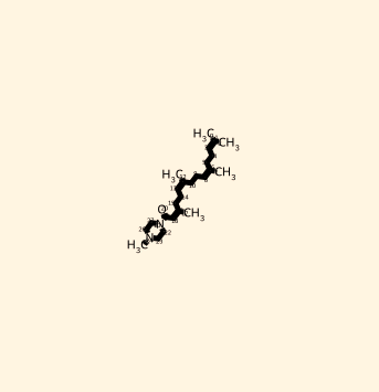 CC(C)=CCCC(C)=CCCC(C)=CCCC(C)=CC(=O)N1CCN(C)CC1